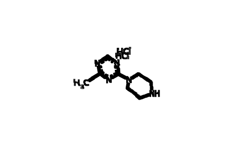 Cc1ncnc(N2CCNCC2)n1.Cl.Cl